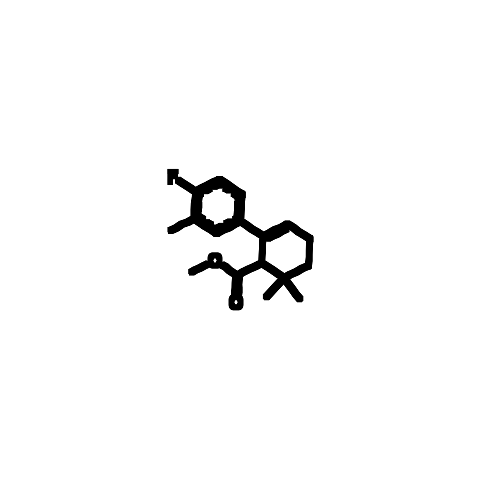 COC(=O)C1C(c2ccc(F)c(C)c2)=CCCC1(C)C